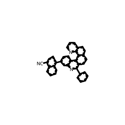 N#Cc1ccc(-c2ccc3c(c2)nc(-c2ccccc2)c2ccc4ccc5cccnc5c4c23)c2ccccc12